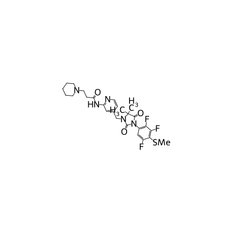 CSc1c(F)cc(N2C(=O)N(Cc3ccnc(NC(=O)CCN4CCCCC4)c3)C(C)(C)C2=O)c(F)c1F